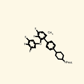 C.CCCCCC1CCC(c2ccc(-c3ccc(F)c(F)c3Oc3cc(F)c(F)c(F)c3)cc2)CC1